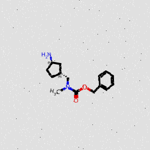 CN(C[C@@H]1CC[C@@H](N)C1)C(=O)OCc1ccccc1